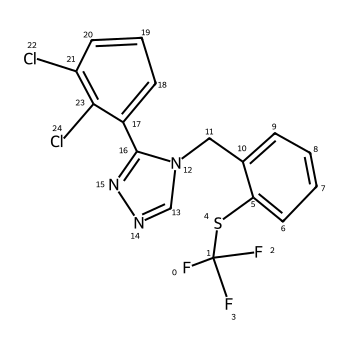 FC(F)(F)Sc1ccccc1Cn1cnnc1-c1cccc(Cl)c1Cl